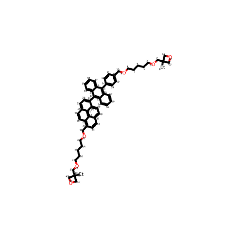 CCC1(COCCCCCOCc2ccc(-c3c4ccccc4c(-c4ccc5ccc6c(COCCCCCOCC7(CC)COC7)ccc7ccc4c5c76)c4ccccc34)cc2)COC1